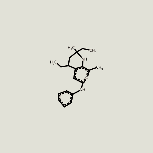 CCC1CC(C)(CC)Nc2c(C)cc(Nc3ccccc3)cc21